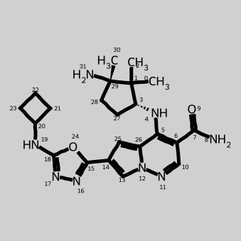 CC1(C)[C@H](Nc2c(C(N)=O)cnn3cc(-c4nnc(NC5CCC5)o4)cc23)CC[C@]1(C)N